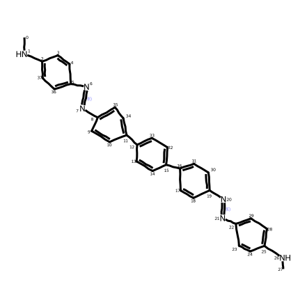 CNc1ccc(/N=N/c2ccc(-c3ccc(-c4ccc(/N=N/c5ccc(NC)cc5)cc4)cc3)cc2)cc1